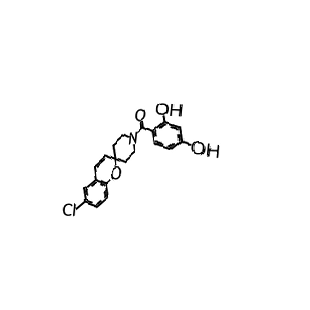 O=C(c1ccc(O)cc1O)N1CCC2(C=Cc3cc(Cl)ccc3O2)CC1